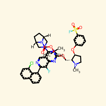 CN1CC[C@H](Oc2cccc(S(=O)(=O)F)c2)[C@H]1COc1nc(N2C[C@H]3CC[C@@H](C2)N3C(=O)OC(C)(C)C)c2cnc(-c3cccc4cccc(Cl)c34)c(F)c2n1